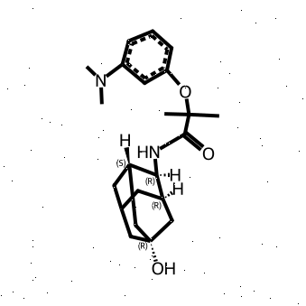 CN(C)c1cccc(OC(C)(C)C(=O)N[C@H]2[C@@H]3CC4C[C@H]2C[C@](O)(C4)C3)c1